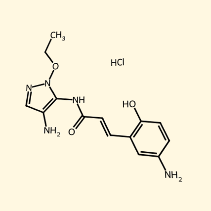 CCOn1ncc(N)c1NC(=O)C=Cc1cc(N)ccc1O.Cl